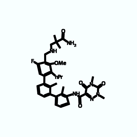 CCCc1c(-c2cccc(-c3cccc(NC(=O)c4nn(C)c(=O)n(C)c4=O)c3C)c2C)cc(F)c(CNCC(C)(C)C(N)=O)c1OC